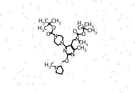 Cc1nc(OC[C@@H]2CCCN2C)nc(N2CCN(C(=O)OC(C)(C)C)CC2)c1CN(C)C(=O)OC(C)(C)C